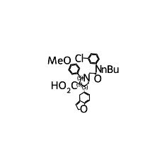 CCCCN(C(=O)CN1C[C@H](C2=CC=C3OCC=C3C2)[C@H](C(=O)O)[C@H]1c1ccc(OC)cc1)c1cccc(Cl)c1